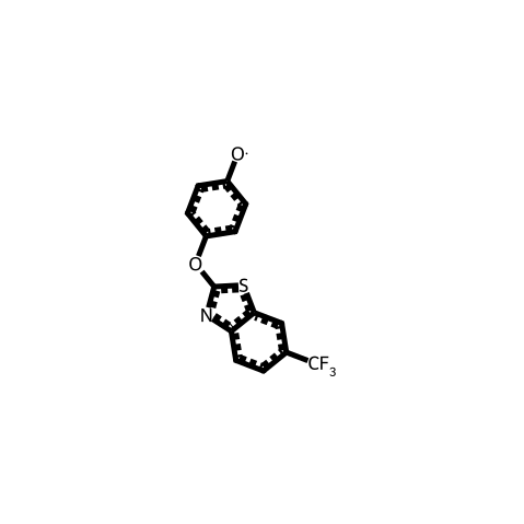 [O]c1ccc(Oc2nc3ccc(C(F)(F)F)cc3s2)cc1